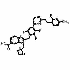 Cc1ccc(CCc2cccc(-c3cc(F)c(Cc4nc5ccc(C(=O)O)cc5n4C[C@@H]4CCO4)c(F)c3F)n2)c(F)c1